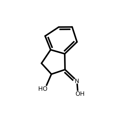 ON=C1c2ccccc2CC1O